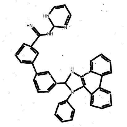 N=C(NC1N=CC=CN1)c1cccc(-c2cccc(C3Nc4c(c5ccccc5c5ccccc45)N3c3ccccc3)c2)c1